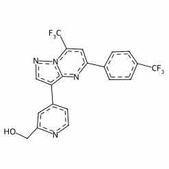 OCc1cc(-c2cnn3c(C(F)(F)F)cc(-c4ccc(C(F)(F)F)cc4)nc23)ccn1